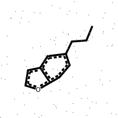 C[CH]Cc1ccc2occc2c1